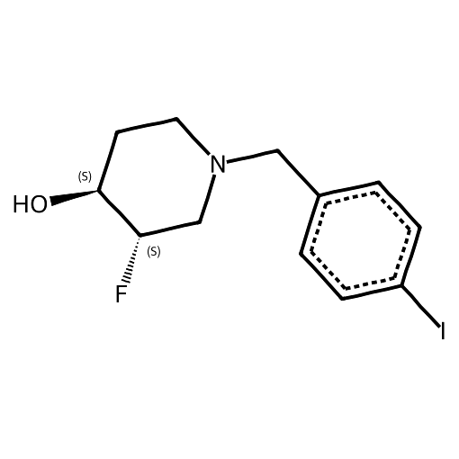 O[C@H]1CCN(Cc2ccc(I)cc2)C[C@@H]1F